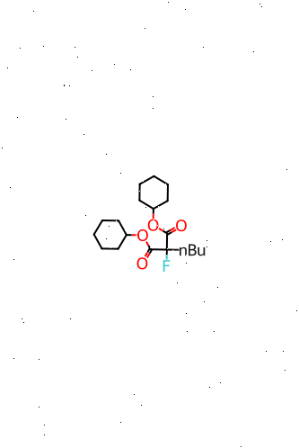 CCCCC(F)(C(=O)OC1CCCCC1)C(=O)OC1CCCCC1